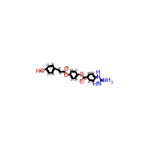 N=C(N)Nc1ccc(C(=O)Oc2ccc(OC(=O)C=Cc3ccc(O)cc3)cc2)cc1